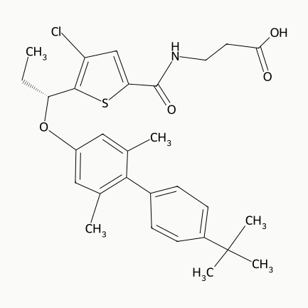 CC[C@@H](Oc1cc(C)c(-c2ccc(C(C)(C)C)cc2)c(C)c1)c1sc(C(=O)NCCC(=O)O)cc1Cl